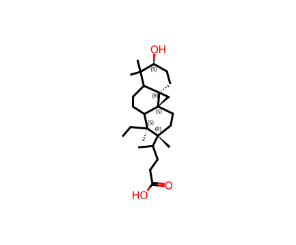 CC[C@@]1(C)C2CCC3C(C)(C)[C@@H](O)CC[C@@]34C[C@@]24CC[C@]1(C)C(C)CCC(=O)O